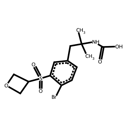 CC(C)(Cc1ccc(Br)c(S(=O)(=O)C2COC2)c1)NC(=O)O